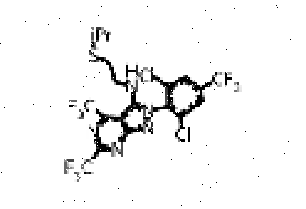 CC(C)SCCNc1c2c(C(F)(F)F)nc(C(F)(F)F)nc2nn1-c1c(Cl)cc(C(F)(F)F)cc1Cl